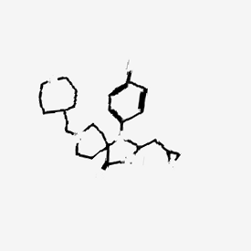 O=C1NC(CC2CO2)N(c2ccc(F)cc2)C12CCN(CC1CCCCCCC1)CC2